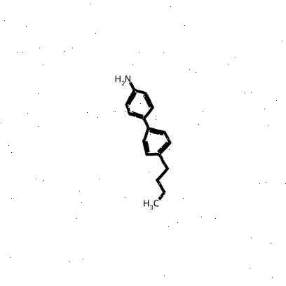 CCCCc1ccc(-c2ccc(N)cc2)cc1